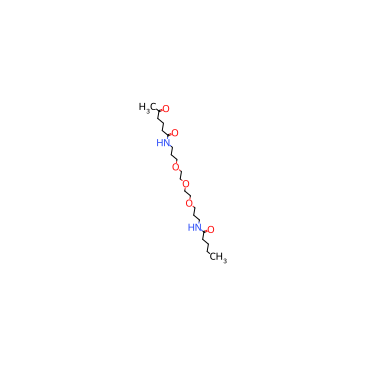 CCCCC(=O)NCCCOCCOCCOCCCNC(=O)CCCC(C)=O